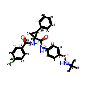 CC(C)(C)NSc1ccc(NC(=O)C2(NC(=O)c3ccc(F)cc3)CC2c2ccccc2)cc1